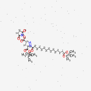 CC(C)(C)OC(=O)CCCCCCCCCCCCCC(=O)N[C@@H](CCC(=O)ON1C(=O)CCC1=O)C(=O)OC(C)(C)C